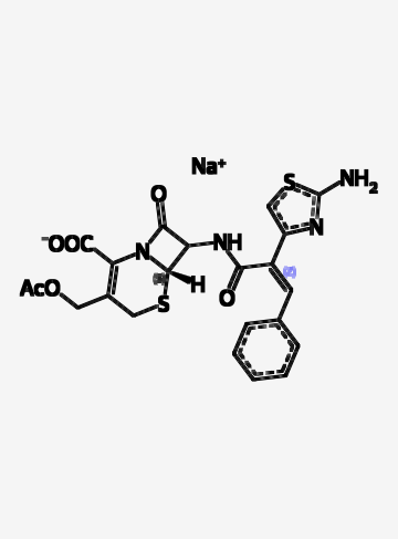 CC(=O)OCC1=C(C(=O)[O-])N2C(=O)C(NC(=O)/C(=C\c3ccccc3)c3csc(N)n3)[C@@H]2SC1.[Na+]